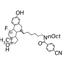 CCCCCCCCN(CCCCCC[C@@H]1Cc2cc(O)ccc2C2C1C1CC[C@H](O)[C@@]1(C)C[C@@H]2F)C(=O)c1ccc(C#N)cc1